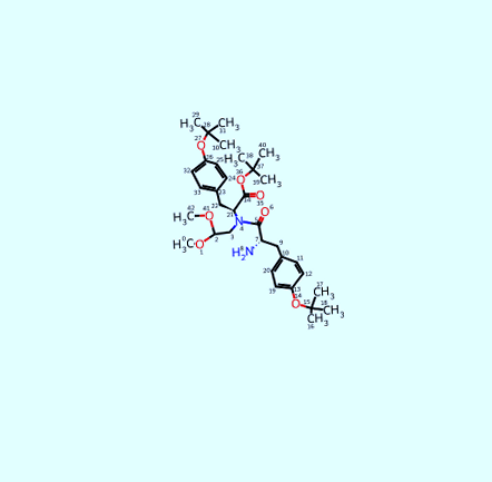 COC(CN(C(=O)[C@@H](N)Cc1ccc(OC(C)(C)C)cc1)[C@@H](Cc1ccc(OC(C)(C)C)cc1)C(=O)OC(C)(C)C)OC